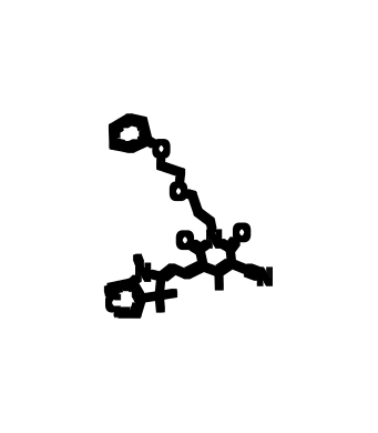 CC1=C(C#N)C(=O)N(CCCOCCOc2ccccc2)C(=O)/C1=C\C=C1\N(C)c2ccccc2C1(C)C